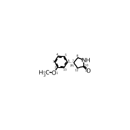 COc1cccc([C@@H]2CNC(=O)C2)c1